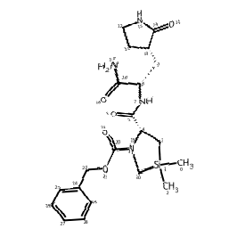 C[Si]1(C)C[C@@H](C(=O)N[C@@H](C[C@@H]2CCNC2=O)C(N)=O)N(C(=O)OCc2ccccc2)C1